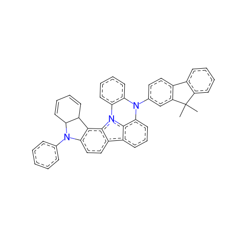 CC1(C)c2ccccc2-c2ccc(N3c4ccccc4-n4c5c3cccc5c3ccc5c(c34)C3C=CC=CC3N5c3ccccc3)cc21